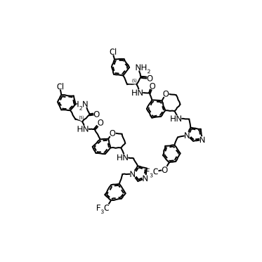 NC(=O)[C@H](Cc1ccc(Cl)cc1)NC(=O)c1cccc2c1OCCC2NCc1cncn1Cc1ccc(C(F)(F)F)cc1.NC(=O)[C@H](Cc1ccc(Cl)cc1)NC(=O)c1cccc2c1OCCC2NCc1cncn1Cc1ccc(OC(F)(F)F)cc1